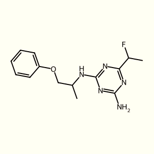 CC(COc1ccccc1)Nc1nc(N)nc(C(C)F)n1